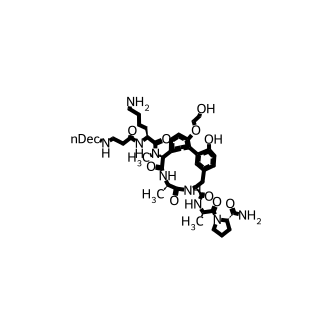 CCCCCCCCCCNCCC(=O)N[C@@H](CCCCN)C(=O)N(C)[C@@H]1C(=O)N[C@@H](C)C(=O)N[C@H](C(=O)N[C@@H](C)C(=O)N2CCC[C@H]2C(N)=O)Cc2ccc(O)c(c2)-c2cc1ccc2OCCO